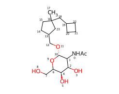 CC(=O)NC1C(O)[C@@H](O)C(CO)O[C@@H]1OCC1CCC(C)(CC2CCC2)C1